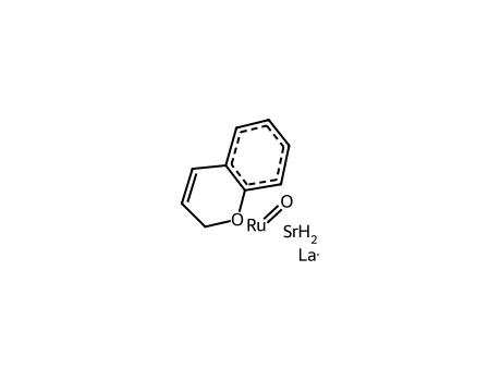 C1=Cc2ccccc2OC1.[La].[O]=[Ru].[SrH2]